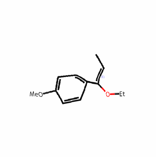 C/C=C(/OCC)c1ccc(OC)cc1